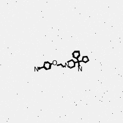 N#Cc1ccc(OCCCN2CCC(C(C#N)(c3ccccc3)C3CCCC3)CC2)cc1